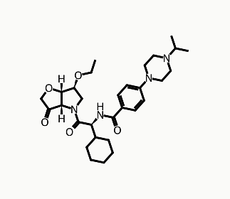 CCO[C@H]1CN(C(=O)[C@@H](NC(=O)c2ccc(N3CCN(C(C)C)CC3)cc2)C2CCCCC2)[C@@H]2C(=O)CO[C@H]12